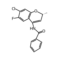 C[C@@H]1C=C(NC(=O)c2ccccc2)c2cc(F)c(Cl)cc2O1